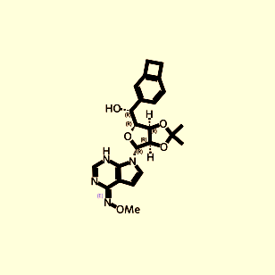 CO/N=c1/nc[nH]c2c1ccn2[C@@H]1O[C@H]([C@H](O)c2ccc3c(c2)CC3)[C@H]2OC(C)(C)O[C@H]21